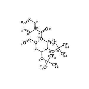 O=C(OCCOC(C(F)(F)F)(C(F)(F)F)C(F)(F)F)c1ccccc1C(=O)OCCOC(C(F)(F)F)(C(F)(F)F)C(F)(F)F